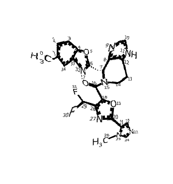 Cc1ccc2oc([C@@H]3c4nc[nH]c4CCN3C(=O)c3oc(-c4cncn4C)nc3C(F)F)nc2c1